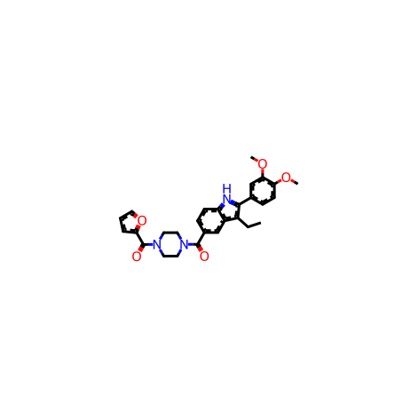 CCc1c(-c2ccc(OC)c(OC)c2)[nH]c2ccc(C(=O)N3CCN(C(=O)c4ccco4)CC3)cc12